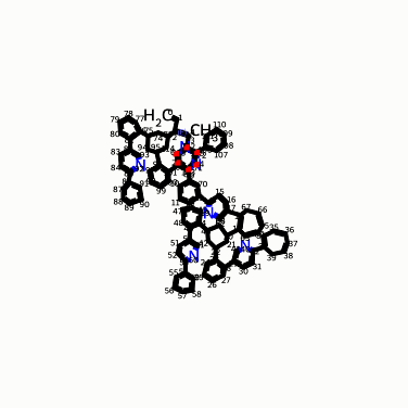 C=C/C(=C(\C)c1ccc(-c2cccc(-c3ccc(C4=C(C5CC(c6ccccc6-c6ccc(C7=CC=CC=CC7)nc6)CC(c6ccccc6-c6ccc(-c7ccccc7)nc6)C5)C=CC=CC4)cn3)c2)nc1)C1CC(c2ccccc2-c2ccc(-c3ccccc3)nc2)CC(c2ccccc2-c2ccc(-c3ccccc3)nc2)C1